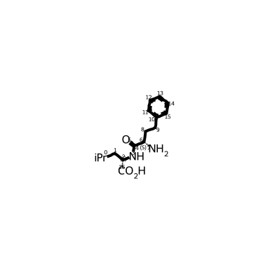 CC(C)C[C@H](NC(=O)[C@@H](N)CCc1ccccc1)C(=O)O